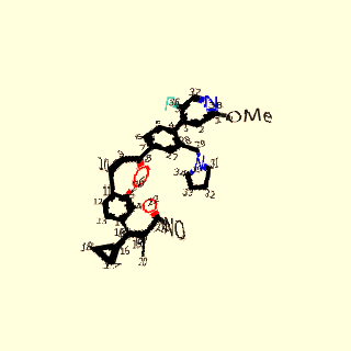 COc1cc(-c2ccc(C3CCc4ccc([C@H](C5CC5)[C@H](C)C(=O)N=O)cc4O3)cc2CN2CCCC2)c(F)cn1